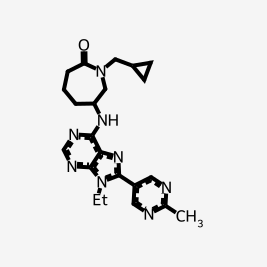 CCn1c(-c2cnc(C)nc2)nc2c(NC3CCCC(=O)N(CC4CC4)C3)ncnc21